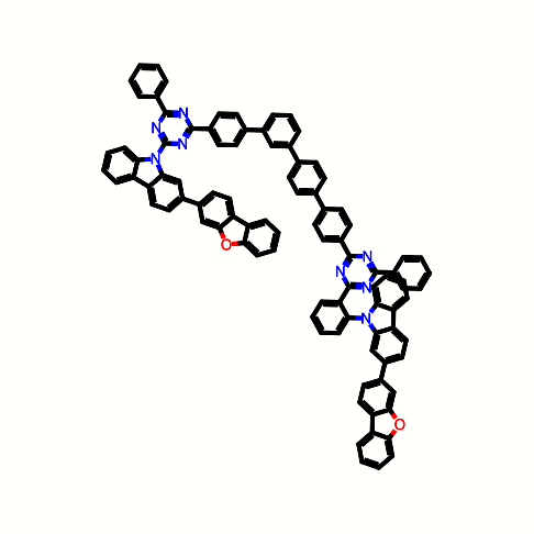 c1ccc(-c2nc(-c3ccc(-c4ccc(-c5cccc(-c6ccc(-c7nc(-c8ccccc8)nc(-n8c9ccccc9c9ccc(-c%10ccc%11c(c%10)oc%10ccccc%10%11)cc98)n7)cc6)c5)cc4)cc3)nc(-c3ccccc3-n3c4ccccc4c4ccc(-c5ccc6c(c5)oc5ccccc56)cc43)n2)cc1